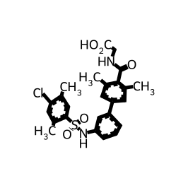 Cc1cc(S(=O)(=O)Nc2cccc(-c3cc(C)c(C(=O)NCC(=O)O)c(C)c3)c2)c(C)cc1Cl